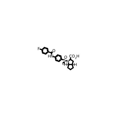 O=C(Nc1ccc(S(=O)(=O)N2C(C(=O)O)C[C@H]3CCC[C@H]32)cc1)c1ccc(F)cc1